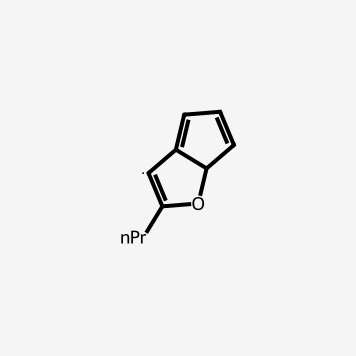 CCCC1=[C]C2=CC=CC2O1